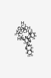 CC(C)(C)C(=O)OC1(CCNc2cc(N3CCc4ccccc4CC3)nc(-c3ccccn3)n2)CC1